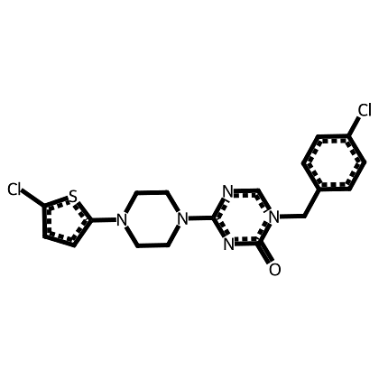 O=c1nc(N2CCN(c3ccc(Cl)s3)CC2)ncn1Cc1ccc(Cl)cc1